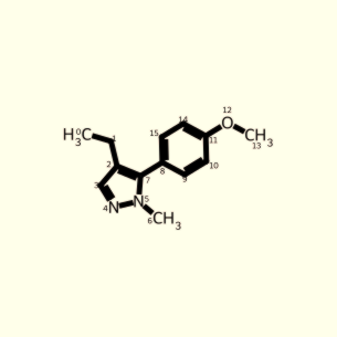 CCc1cnn(C)c1-c1ccc(OC)cc1